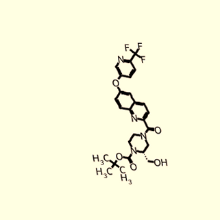 CC(C)(C)OC(=O)N1CCN(C(=O)c2ccc3cc(Oc4ccc(C(F)(F)F)nc4)ccc3n2)C[C@@H]1CO